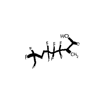 C=C(C(=O)O)C(F)(F)C(F)(F)C(F)(F)CCC(F)(F)F